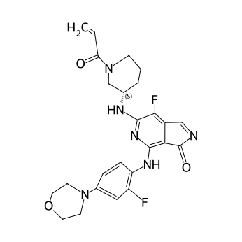 C=CC(=O)N1CCC[C@H](Nc2nc(Nc3ccc(N4CCOCC4)cc3F)c3c(c2F)C=NC3=O)C1